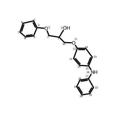 OC(COc1ccccc1)COc1ccc(Nc2ccccc2)cc1